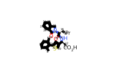 Cc1cccc(C)c1-c1cc([C@H](CC(=O)O)NC(=O)[C@@H](CC(C)C)N2Cc3ccccc3C2=O)cs1